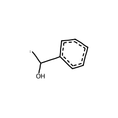 [CH]C(O)c1ccccc1